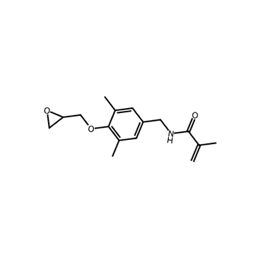 C=C(C)C(=O)NCc1cc(C)c(OCC2CO2)c(C)c1